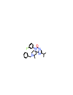 CC(C)c1cn2c(n1)[C@@]1(CCN(Cc3ccccc3)C(C)C1)N(c1cccc(F)c1)C2=O